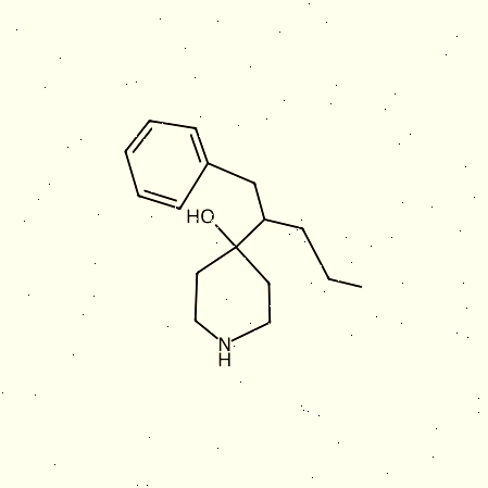 CCCC(Cc1ccccc1)C1(O)CCNCC1